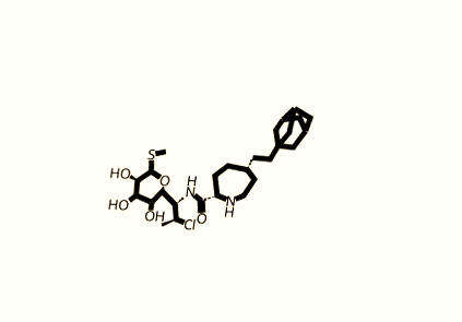 CSC1O[C@H]([C@H](NC(=O)[C@@H]2CC[C@H](CCC34CC5CC(C3)C(C5)C4)CCN2)[C@H](C)Cl)C(O)C(O)[C@H]1O